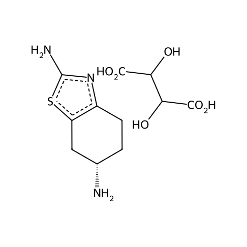 Nc1nc2c(s1)C[C@@H](N)CC2.O=C(O)C(O)C(O)C(=O)O